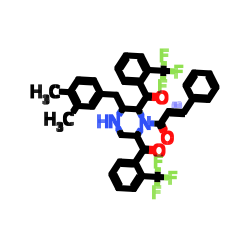 Cc1ccc(CC2NCC(C(=O)c3ccccc3C(F)(F)F)N(C(=O)/C=C/c3ccccc3)C2C(=O)c2ccccc2C(F)(F)F)cc1C